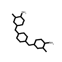 CC1CC(CC2CCC(CC3CCC(N)C(C)C3)CC2)CCC1N